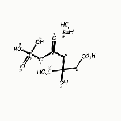 Cl.O=C(O)CC(O)(CC(=O)OP(=O)(O)O)C(=O)O.[NaH]